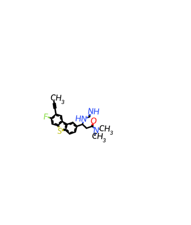 CC#Cc1cc2c(cc1F)sc1ccc(C(CC(=O)N(C)C)NC=N)cc12